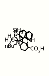 CCCCN1C2CCC(C(=O)O)=C3Nc4ccccc4C32C(CO[SiH3])(c2ccccc2)C1(C)C